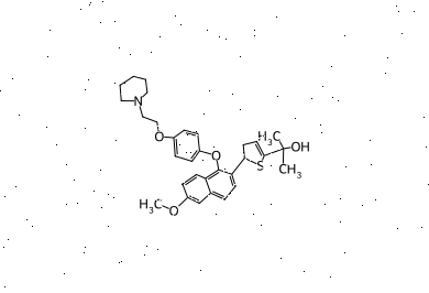 COc1ccc2c(Oc3ccc(OCCN4CCCCC4)cc3)c(C3CC=C(C(C)(C)O)S3)ccc2c1